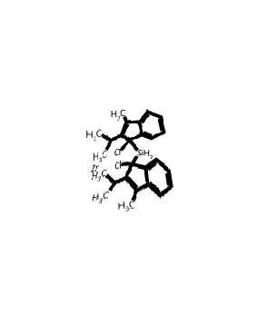 CC1=C(C(C)C)C(Cl)([SiH2]C2(Cl)C(C(C)C)=C(C)c3ccccc32)c2ccccc21.[Zr]